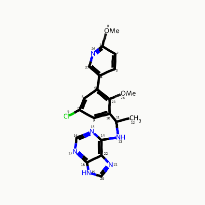 COc1ccc(-c2cc(Cl)cc(C(C)Nc3ncnc4[nH]cnc34)c2OC)cn1